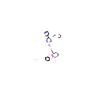 COc1cc(C)c(S(=O)(=O)N2CCCCC2CCOCC(=O)N2CCC(OCCN3CCCC3)(c3cccnc3)CC2)c(C)c1